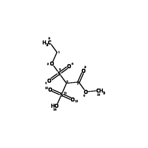 CCOS(=O)(=O)C(C(=O)OC)S(=O)(=O)O